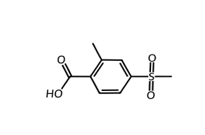 Cc1cc(S(C)(=O)=O)ccc1C(=O)O